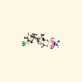 CN(C)S(=O)(=O)c1ccc(SCc2cccc(Br)c2)c(C(=O)O)c1